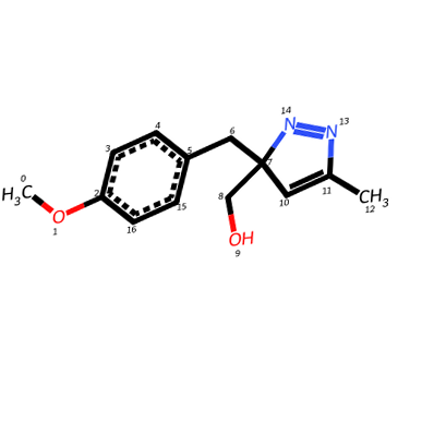 COc1ccc(CC2(CO)C=C(C)N=N2)cc1